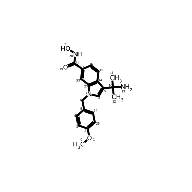 COc1ccc(Cn2cc(C(C)(C)N)c3ccc(C(=O)NO)cc32)cc1